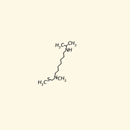 CSCN(C)CCCCCCCNC(C)C